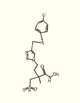 CC(CCn1cc(CSc2ccc(Cl)cc2)nn1)(C[SH](=O)=O)C(=O)NO